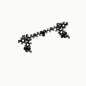 Cc1c(CCOCCCO[N+](=O)OCCCOCCc2cc(-c3ccc(S(C)(=O)=O)cc3)n(-c3ccc(F)cc3)c2C)cc(-c2ccc(S(C)(=O)=O)cc2)n1-c1ccc(F)cc1